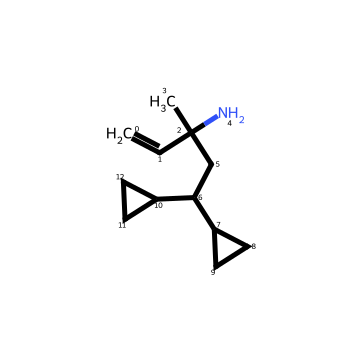 C=CC(C)(N)CC(C1CC1)C1CC1